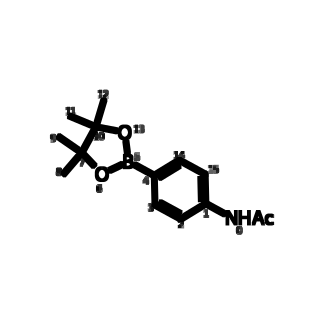 CC(=O)Nc1ccc(B2OC(C)(C)C(C)(C)O2)cc1